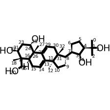 CC(C)(O)[C@@H]1CC[C@H]([C@@H]2CC[C@@]3(C)C4=CC[C@H]5[C@](C)(CO)[C@@H](O)C[C@H](O)[C@]5(C)C4=CC[C@]23C)[C@@H]1O